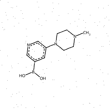 CN1CCN(c2cncc(B(O)O)c2)CC1